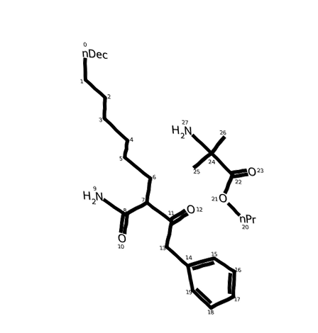 CCCCCCCCCCCCCCCCC(C(N)=O)C(=O)Cc1ccccc1.CCCOC(=O)C(C)(C)N